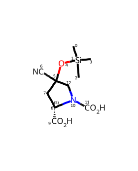 C[Si](C)(C)OC1(C#N)C[C@@H](C(=O)O)N(C(=O)O)C1